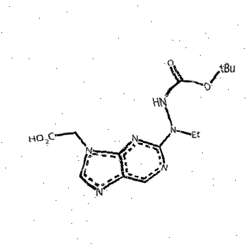 CCN(NC(=O)OC(C)(C)C)c1ncc2ncn(CC(=O)O)c2n1